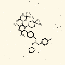 Cc1nc(C)c([C@H](OC(C)(C)C)C(=O)O)c(N2CCC(C)(C)CC2)c1-c1ccc(CN(Cc2ccc(F)cc2)C[C@@H]2CCCO2)cc1